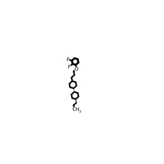 CCC[C@H]1CC[C@H](C2CCC(CCCOc3cccc(F)c3F)CC2)CC1